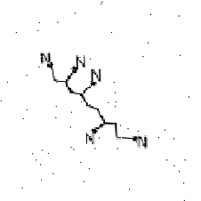 N#CCCC(C#N)CCC(C#N)CC(C#N)CC#N